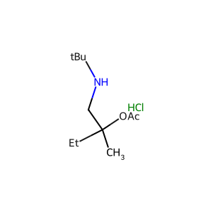 CCC(C)(CNC(C)(C)C)OC(C)=O.Cl